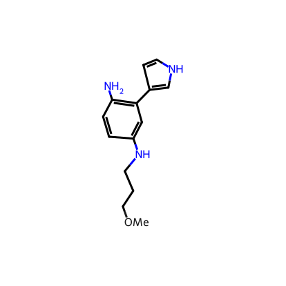 COCCCNc1ccc(N)c(-c2cc[nH]c2)c1